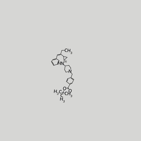 CCC(=Cc1ccccc1)C1C[C@@H]1NC1CCN(Cc2ccc(C(=O)OC(C)(C)C)cc2)CC1